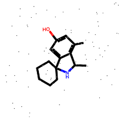 Cc1cc(O)cc2c1C(C)NC21CCCCC1